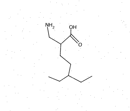 CCC(CC)CCC(CN)C(=O)O